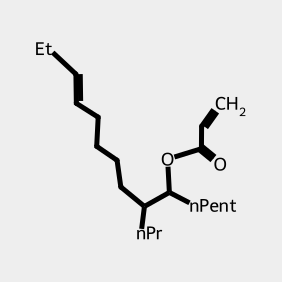 C=CC(=O)OC(CCCCC)C(CCC)CCCC/C=C/CC